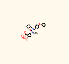 CN(C(=O)N(Cc1ccccc1)Cc1ccc(Oc2ccccc2)cc1)c1ccc(C(=O)O)c(C(=O)O)c1